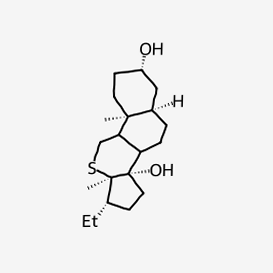 CC[C@H]1CC[C@]2(O)C3CC[C@@H]4C[C@@H](O)CC[C@]4(C)C3CS[C@]12C